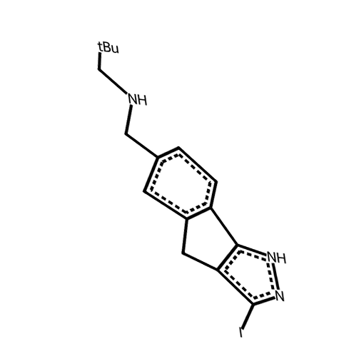 CC(C)(C)CNCc1ccc2c(c1)Cc1c(I)n[nH]c1-2